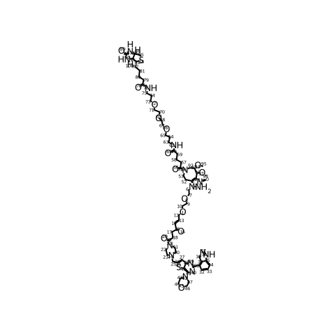 C=N/C1=C(\N(N)CCOCCOC/C=C/C(=O)CCC(=O)N2CCN(Cc3cc4nc(-c5cccc6[nH]ncc56)nc(N5CCOCC5)c4s3)CC2)CCN(C(=O)CCCC(=O)NCCCOCCOCCOCCCNC(=O)CCCC[C@@H]2SC[C@@H]3NC(=O)N[C@@H]32)C[C@H](OC)[C@H]1OC